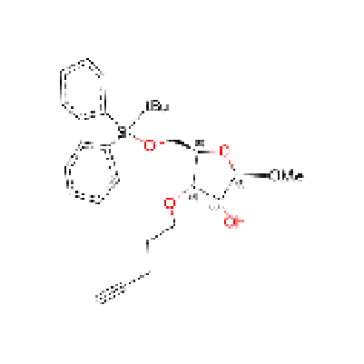 C#CCCCO[C@H]1[C@@H](O)[C@H](OC)O[C@@H]1CO[Si](c1ccccc1)(c1ccccc1)C(C)(C)C